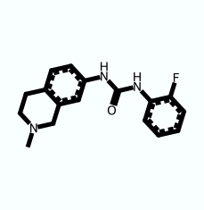 CN1CCc2ccc(NC(=O)Nc3ccccc3F)cc2C1